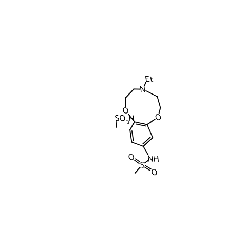 CCN1CCOc2ccc(NS(C)(=O)=O)cc2OCC1.CS(=O)(=O)O